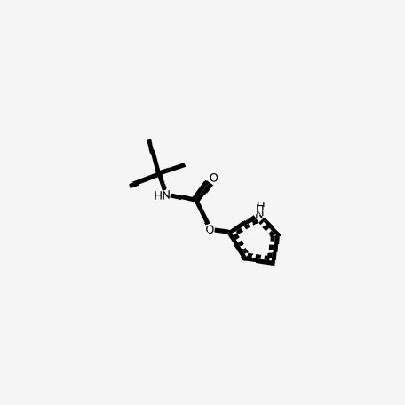 CC(C)(C)NC(=O)Oc1ccc[nH]1